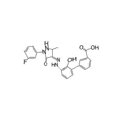 CC1NN(c2cccc(F)c2)C(=O)C1=NNc1cccc(-c2cccc(C(=O)O)c2)c1O